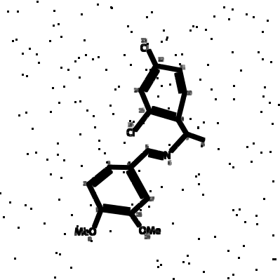 COc1ccc(C=NC(C)c2ccc(Cl)cc2Cl)cc1OC